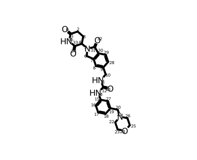 O=C1CCC(N2Cc3cc(CNC(=O)Nc4cccc(CN5CCOCC5)c4)ccc3C2=O)C(=O)N1